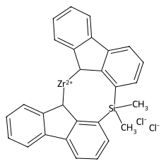 C[Si]1(C)c2cccc3c2[CH]([Zr+2][CH]2c4ccccc4-c4cccc1c42)c1ccccc1-3.[Cl-].[Cl-]